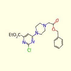 CCOC(=O)c1cc(N2CCN(CC(=O)OCc3ccccc3)CC2)nc(Cl)n1